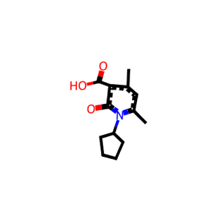 Cc1cc(C)n(C2CCCC2)c(=O)c1C(=O)O